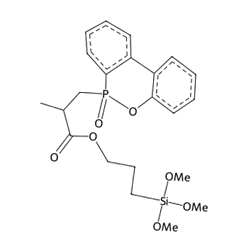 CO[Si](CCCOC(=O)C(C)CP1(=O)Oc2ccccc2-c2ccccc21)(OC)OC